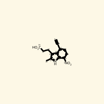 C#Cc1ccc([N+](=O)[O-])c2[nH]c(C)c(CCC(=O)O)c12